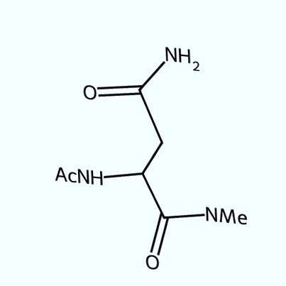 CNC(=O)C(CC(N)=O)NC(C)=O